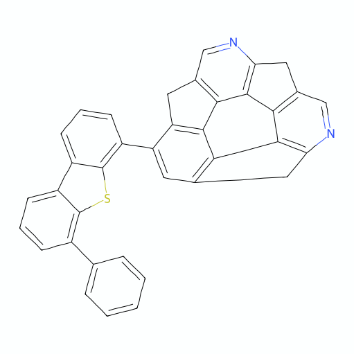 c1ccc(-c2cccc3c2sc2c(-c4cc5c6c7c(ncc8c7c7c(ncc9c7c6c4C9)C8)C5)cccc23)cc1